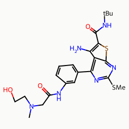 CSc1nc(-c2cccc(NC(=O)CN(C)CCO)c2)c2c(N)c(C(=O)NC(C)(C)C)sc2n1